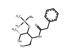 C[C@@H](O)C(O[Si](C)(C)C(C)(C)C)[C@H](CO)NC(=O)Cc1ccccc1